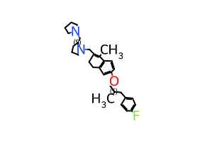 CC1=C(CN2CCC[C@H]2CN2CCCC2)CCc2cc(OC[C@@H](C)Cc3ccc(F)cc3)ccc21